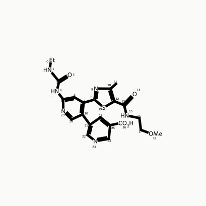 CCNC(=O)Nc1cc(-c2nc(C)c(C(=O)NCCOC)s2)c(-c2cncc(C(=O)O)c2)cn1